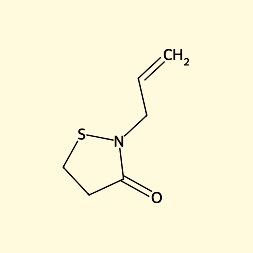 C=CCN1SCCC1=O